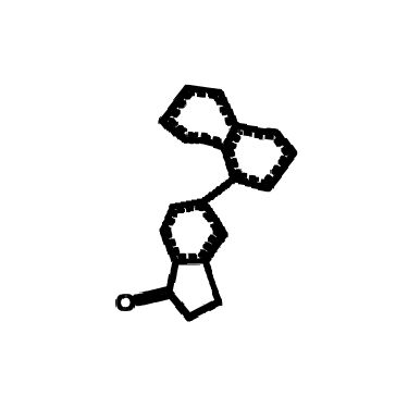 O=C1CCc2cc(-c3cccc4ccccc34)ccc21